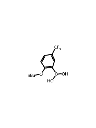 CCCCOc1ccc(C(F)(F)F)cc1B(O)O